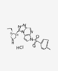 CC[C@@H]1CNC[C@@H]1c1nnc2cnc3c(ccn3S(=O)(=O)c3ccc(C)cc3)n12.Cl